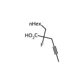 CC#CCC(F)(CCCCCCC)C(=O)O